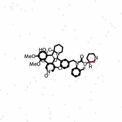 COc1ccc([C@H](Cc2c(Cl)c[n+]([O-])cc2Cl)[C@]2(C(=O)O)CCCCN2C(=O)c2cccc(CN(C(=O)O[C@H]3CN4CCC3CC4)c3ccccc3F)c2)cc1OC